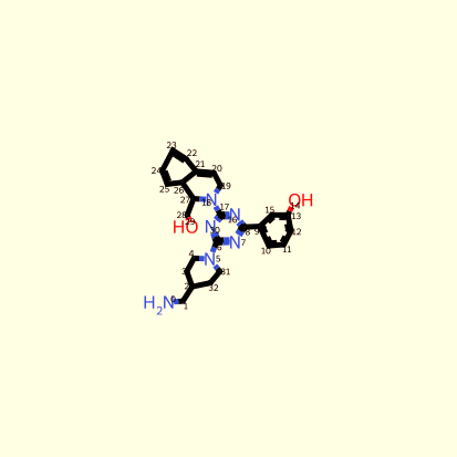 NCC1CCN(c2nc(-c3cccc(O)c3)nc(N3CC=C4C=CC=CC4C3CO)n2)CC1